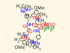 COc1cc(C)c(S(=O)(=O)N(C)Cc2cc(C(=O)NCCc3ccc(C4=NCC(C)(C)N4)cc3)co2)c(C)c1.COc1cc(C)c(S(=O)(=O)N(C)Cc2cc(C(=O)NCc3ccc(C4=NCC(C)(C)N4)cc3)co2)c(C)c1.O=C(O)C(F)(F)F.O=C(O)C(F)(F)F